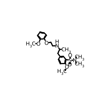 COc1ccccc1OCCNC(C)Cc1ccc(OC)c(S(=O)(=O)N(C)C)c1